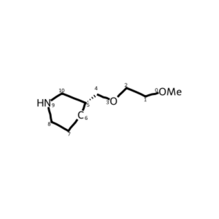 COCCOC[C@@H]1CCCNC1